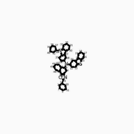 c1ccc(-c2nc3cc(N(c4ccc5sc6ccccc6c5c4)c4ccc5c(c4)c4ccccc4n5-c4ccccc4)c4ccccc4c3o2)cc1